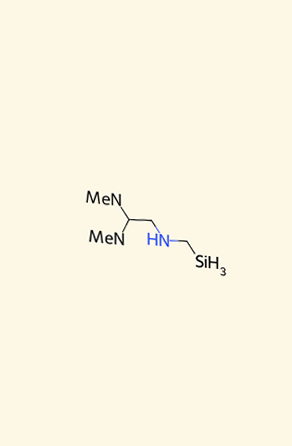 CNC(CNC[SiH3])NC